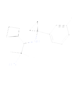 CC(C)(N)C(NC1(c2cccc(C(F)(F)F)c2)CC1)C1CCC1